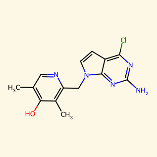 Cc1cnc(Cn2ccc3c(Cl)nc(N)nc32)c(C)c1O